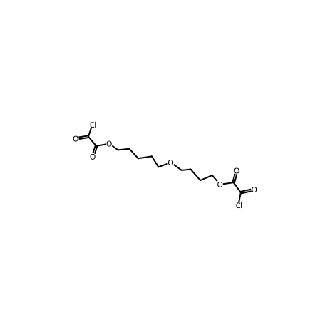 O=C(Cl)C(=O)OCCCCCOCCCCOC(=O)C(=O)Cl